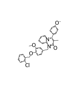 COc1cc(Cn2c(=O)c(C)c(-c3ccc([O-])cc3)[n+]3ccccc23)ccc1OCc1ccccc1Cl